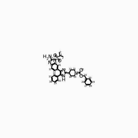 CC(C)S(=O)(=O)n1c(N)nc2ccc(-c3nc(C4CCN(C(=O)OCc5ccccc5)CC4)[nH]c3-c3ccccc3)cc21